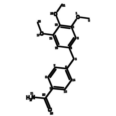 COc1cc(Cc2ccc(C(N)=O)cc2)cc(OC)c1OC